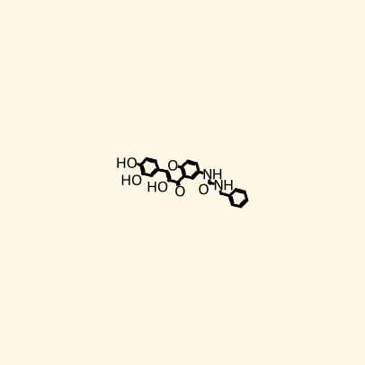 O=C(NCc1ccccc1)Nc1ccc2oc(-c3ccc(O)c(O)c3)c(O)c(=O)c2c1